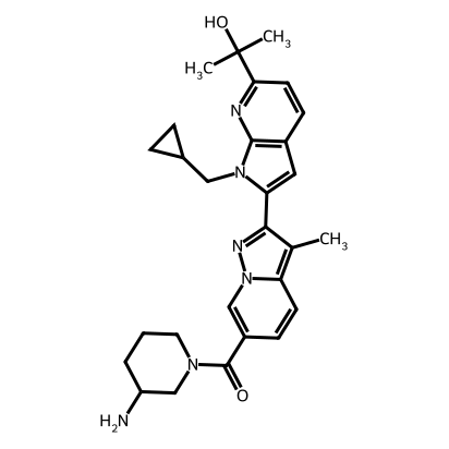 Cc1c(-c2cc3ccc(C(C)(C)O)nc3n2CC2CC2)nn2cc(C(=O)N3CCCC(N)C3)ccc12